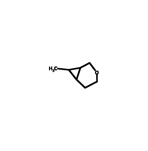 CC1C2CCOCC12